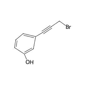 Oc1cccc(C#CCBr)c1